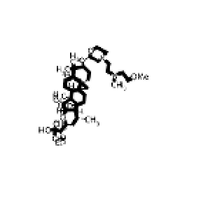 CCO[C@@H]([C@H]1C[C@@H](C)[C@H]2[C@H](O1)[C@H](O)[C@@]1(C)[C@@H]3CC[C@H]4C(C)(C)[C@@H](O[C@H]5CN(CCN(C)CCOC)CCO5)CC[C@@]45C[C@@]35CC[C@]21C)C(C)(C)O